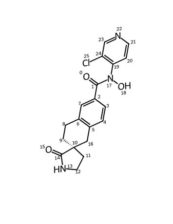 O=C(c1ccc2c(c1)CC[C@@]1(CCNC1=O)C2)N(O)c1ccncc1Cl